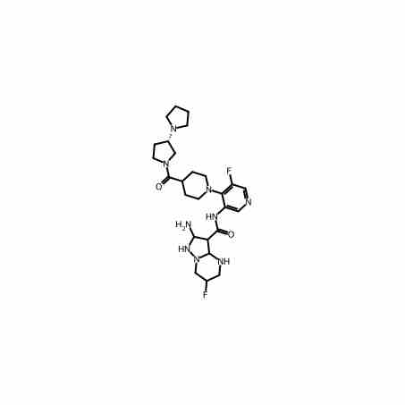 NC1NN2CC(F)CNC2C1C(=O)Nc1cncc(F)c1N1CCC(C(=O)N2CC[C@H](N3CCCC3)C2)CC1